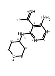 N=C(I)c1c(N)ncnc1NC1CCOCC1